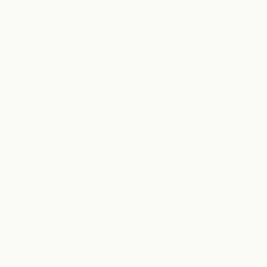 CC1=CC(c2c(O)cc(O)cc2C=Cc2ccccc2)C(C(C)C)CC1